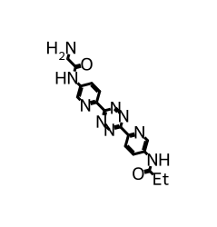 CCC(=O)Nc1ccc(-c2nnc(-c3ccc(NC(=O)CN)cn3)nn2)nc1